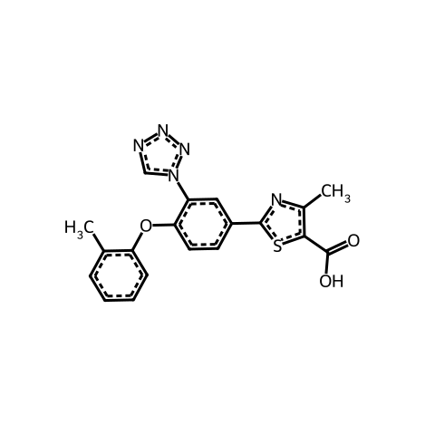 Cc1ccccc1Oc1ccc(-c2nc(C)c(C(=O)O)s2)cc1-n1cnnn1